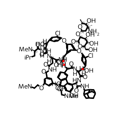 CNCCOCc1cc(OCCNC)cc(C(=O)NC(=O)C[C@@H]2NC(=O)[C@H](NC(=O)[C@@H](CC(C)C)NC)[C@H](O)c3ccc(c(Cl)c3)Oc3cc4cc(c3O[C@@H]3O[C@H](CO)[C@@H](O)[C@H](O)[C@H]3O[C@H]3C[C@](C)(N)[C@H](O)[C@H](C)O3)Oc3ccc(cc3Cl)[C@@H](O)[C@@H]3NC(=O)[C@H](NC(=O)[C@@H]4NC2=O)c2ccc4c(c2)-c2c(cc(O)cc2C4(O)O)[C@@H](C(=O)NC2C4CC5CC(C4)CC2C5)NC3=O)c1